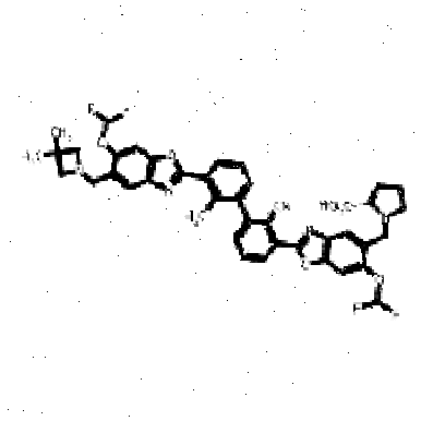 Cc1c(-c2nc3cc(CN4CC(C)(C)C4)c(OC(F)F)cc3o2)cccc1-c1cccc(-c2nc3cc(CN4CCC[C@H]4C(=O)O)c(OC(F)F)cc3o2)c1C#N